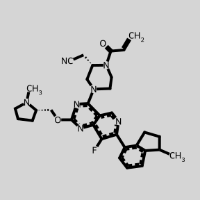 C=CC(=O)N1CCN(c2nc(OC[C@@H]3CCCN3C)nc3c(F)c(-c4cccc5c4CCC5C)ncc23)C[C@@H]1CC#N